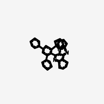 c1ccc(-c2cc(-c3ccccc3)c(-c3nc4ccccc4c4nc5ccccn5c34)c(-c3ccccc3)c2)cc1